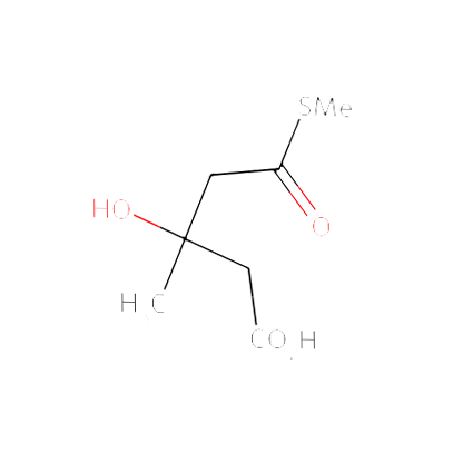 CSC(=O)CC(C)(O)CC(=O)O